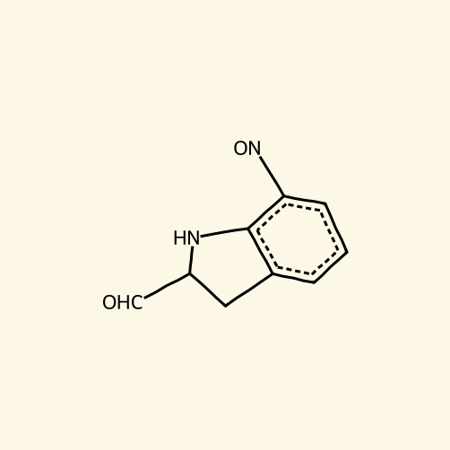 O=CC1Cc2cccc(N=O)c2N1